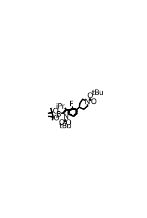 CC(C)c1c(B2OC(C)(C)C(C)(C)O2)n(C(=O)OC(C)(C)C)c2ccc(C3CCN(C(=O)OC(C)(C)C)CC3)c(F)c12